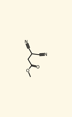 COC(=O)CC(C#N)C#N